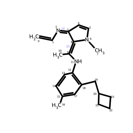 C=C/N=C1/C=CN(C)/C1=C(/C)Nc1ccc(C)cc1CC1CCC1